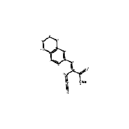 COC(=O)C(=Cc1ccc2c(c1)CCCO2)N=[N+]=[N-]